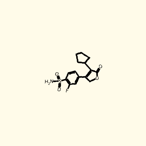 NS(=O)(=O)c1ccc(C2=C(C3CCCC3)C(=O)OC2)cc1F